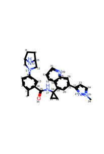 Cc1ccc(N2CC3CCC(C2)N3)cc1C(=O)NC1(c2cc(-c3ccn(C)n3)cc3ncccc23)CC1